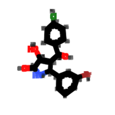 O=C1NC(c2cccc(Br)c2)C(C(=O)c2ccc(Cl)cc2)=C1O